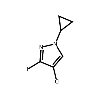 Clc1cn(C2CC2)nc1I